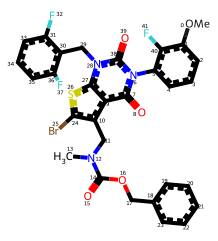 COc1cccc(-n2c(=O)c3c(CN(C)C(=O)OCc4ccccc4)c(Br)sc3n(Cc3c(F)cccc3F)c2=O)c1F